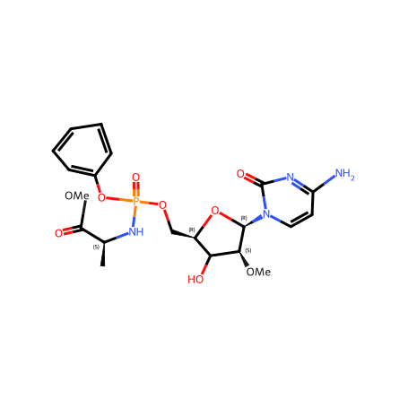 COC(=O)[C@H](C)NP(=O)(OC[C@H]1O[C@@H](n2ccc(N)nc2=O)[C@@H](OC)C1O)Oc1ccccc1